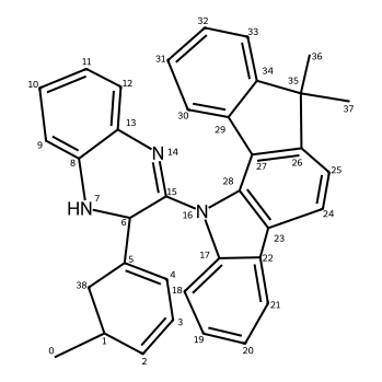 CC1C=CC=C(C2Nc3ccccc3N=C2n2c3ccccc3c3ccc4c(c32)-c2ccccc2C4(C)C)C1